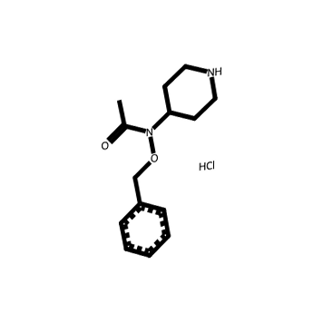 CC(=O)N(OCc1ccccc1)C1CCNCC1.Cl